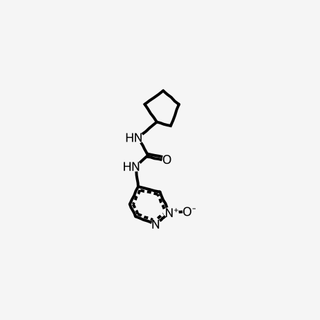 O=C(Nc1ccn[n+]([O-])c1)NC1CCCC1